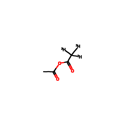 [2H]C([2H])([2H])C(=O)OC(C)=O